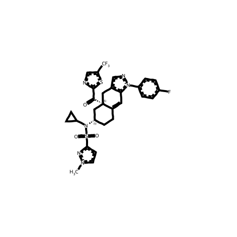 Cn1ccc(S(=O)(=O)N(C2CC2)[C@H]2CCC3=Cc4c(cnn4-c4ccc(F)cc4)C[C@]3(C(=O)c3ncc(C(F)(F)F)s3)C2)n1